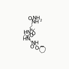 CC(=O)[C@H](CCCNC(N)=O)NC(=O)[C@@H](NCCNC(=O)COC1C#CCCCCC1)C(C)C